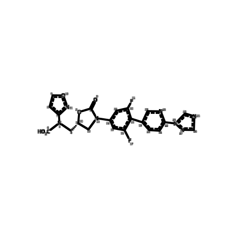 O=C1O[C@@H](CN(C(=O)O)c2ccon2)CN1c1cc(F)c(-c2ccc(-n3cncn3)nc2)c(F)c1